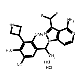 COc1c(C(C)n2nc(C(F)F)c3c(N)nccc32)cc(C#N)c(C)c1C1CNC1.Cl.Cl